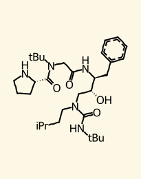 CC(C)CCN(C[C@@H](O)[C@H](Cc1ccccc1)NC(=O)CN(C(=O)[C@@H]1CCCN1)C(C)(C)C)C(=O)NC(C)(C)C